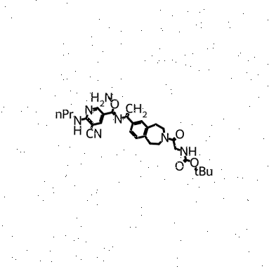 C=C(/N=C(\ON)c1cnc(NCCC)c(C#N)c1)c1ccc2c(c1)CCN(C(=O)CNC(=O)OC(C)(C)C)CC2